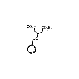 CCOC(=O)CC(CC(=O)O)OCc1ccccc1